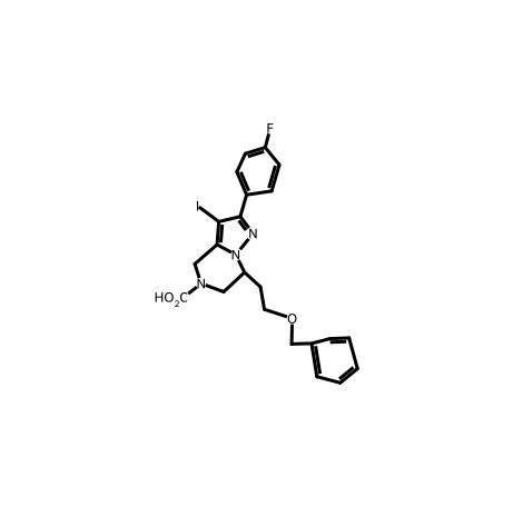 O=C(O)N1Cc2c(I)c(-c3ccc(F)cc3)nn2C(CCOCc2ccccc2)C1